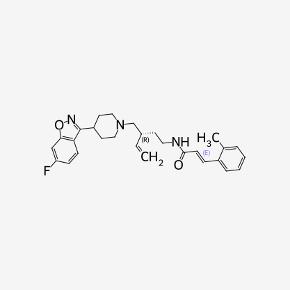 C=C[C@@H](CCNC(=O)/C=C/c1ccccc1C)CN1CCC(c2noc3cc(F)ccc23)CC1